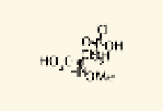 CON[C@@H](C)C(=O)O.O=P(O)(O)Cl